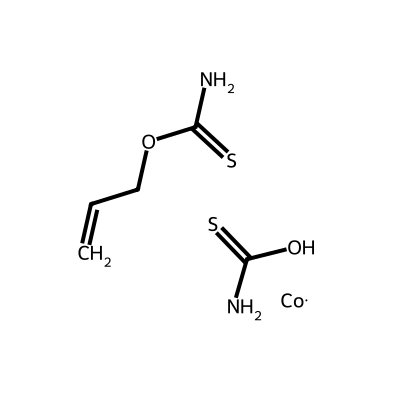 C=CCOC(N)=S.NC(O)=S.[Co]